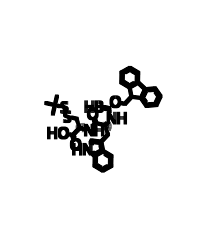 B=C(N[C@@H](Cc1c[nH]c2ccccc12)C(=O)N[C@H](CSSC(C)(C)C)C(=O)O)OCC1c2ccccc2-c2ccccc21